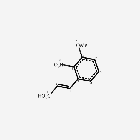 COc1cccc(C=CC(=O)O)c1[N+](=O)[O-]